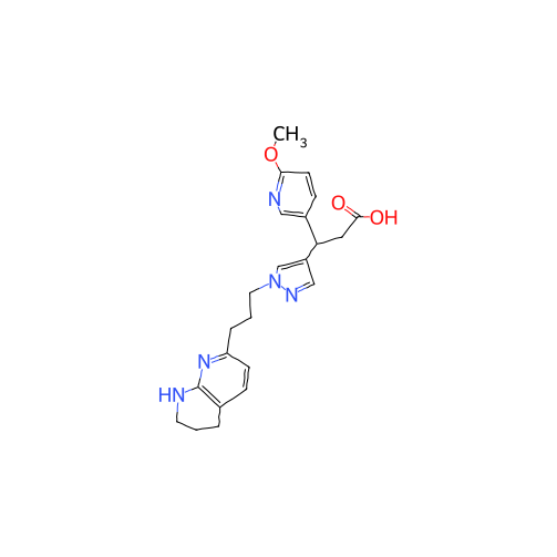 COc1ccc(C(CC(=O)O)c2cnn(CCCc3ccc4c(n3)NCCC4)c2)cn1